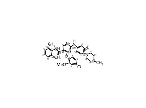 COc1cc(Cl)ccc1Oc1nc(Nc2ccc(N3CCN(C)CC3)c(F)c2)ncc1C(=O)Nc1c(C)cccc1C